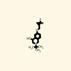 CC(C)(C)N1Cc2ccc(OCC3CC3(F)F)cc2C(O)C1